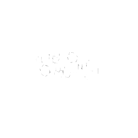 O=C(C(Cl)Cl)N(Cc1oc(=O)oc1C1CCC1)c1cccc(-c2cc(-c3c(Cl)cccc3Cl)no2)c1